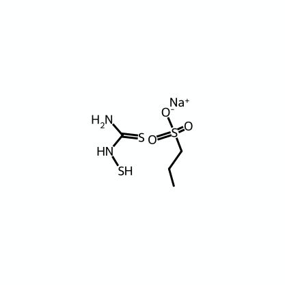 CCCS(=O)(=O)[O-].NC(=S)NS.[Na+]